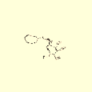 O[C@@H]1[C@@H](O)[C@@H](O)C(CF)=C[C@H]1NCCC1CCCCCC1